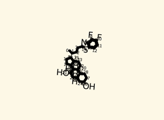 CC(CCc1nc2c(F)c(F)ccc2s1)[C@H]1CC[C@H]2[C@@H]3[C@H](O)C[C@@H]4C[C@H](O)CC[C@]4(C)[C@H]3CC[C@]12C